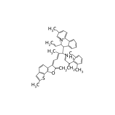 C=CC1C(C(/N=C/C(=C)c2c(C)cccc2C)/C(C)=C/C=c2\c(=C)oc3c2ccc2cc(C)sc23)c2ccccc2-c2ccc(C)c[n+]21